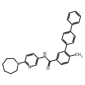 Cc1ccc(C(=O)Nc2ccc(N3CCCCCC3)nc2)cc1-c1ccc(-c2ccccc2)cc1